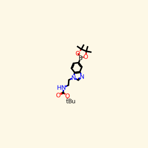 CC(C)(C)OC(=O)NCCn1cnc2cc(B3OC(C)(C)C(C)(C)O3)ccc21